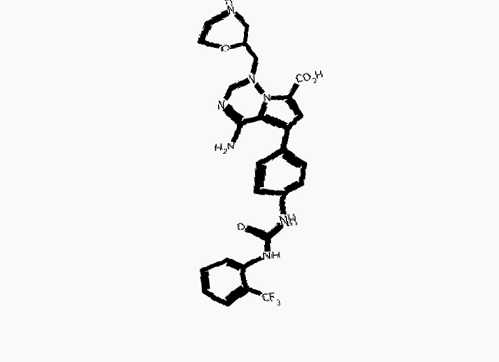 NC1=NCN(CC2CNCCO2)n2c(C(=O)O)cc(-c3ccc(NC(=O)Nc4ccccc4C(F)(F)F)cc3)c21